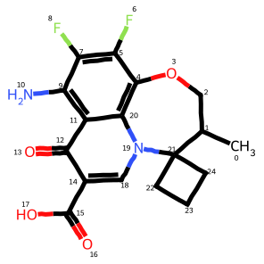 CC1COc2c(F)c(F)c(N)c3c(=O)c(C(=O)O)cn(c23)C12CCC2